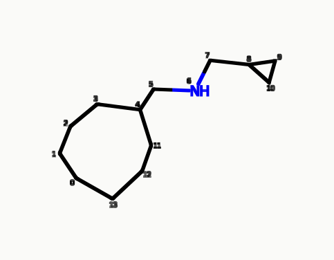 C1CCCC(CNCC2CC2)CCC1